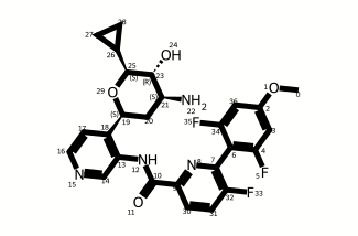 COc1cc(F)c(-c2nc(C(=O)Nc3cnccc3[C@@H]3C[C@H](N)[C@@H](O)[C@H](C4CC4)O3)ccc2F)c(F)c1